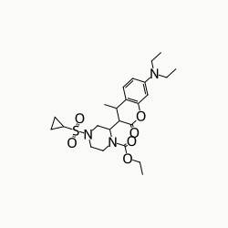 CCOC(=O)N1CCN(S(=O)(=O)C2CC2)CC1C1C(=O)Oc2cc(N(CC)CC)ccc2C1C